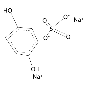 O=S(=O)([O-])[O-].Oc1ccc(O)cc1.[Na+].[Na+]